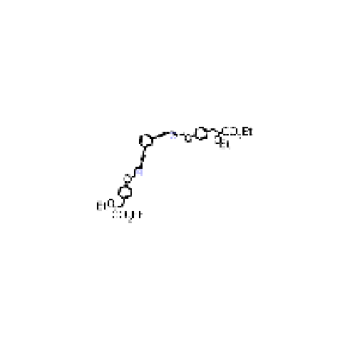 CCOC(=O)C(Cc1ccc(OC/C=C/C#Cc2cccc(C#C/C=C/COc3ccc(CC(OCC)C(=O)OCC)cc3)c2)cc1)OCC